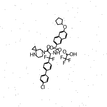 O=C(O)C(F)(F)F.O=C([C@H](NS(=O)(=O)c1ccc2cc(OC3CCCC3)ccc2c1)C(F)(F)c1ccc(-c2ccc(Cl)cc2)cc1)N1CCNC2(CC2)C1